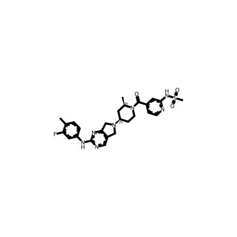 Cc1ccc(Nc2ncc3c(n2)CN([C@@H]2CCN(C(=O)c4ccnc(NS(C)(=O)=O)c4)[C@H](C)C2)C3)cc1F